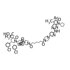 CC(=O)c1c(C)c2cnc(Nc3ccc(N4CCN(C(=O)CCCCCC(=O)N5CCN(S(=O)(=O)CC(N6C(=O)[C@@](C)(CC(=O)O)C[C@H](c7cccc(Cl)c7)[C@H]6c6ccc(Cl)cc6)C(C)(C)C)CC5)CC4)cn3)nc2n(C2CCCC2)c1=O